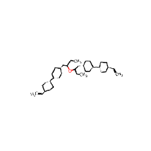 C=C[C@H]1CC[C@H]([C@H]2CC[C@H](CC(CC)OC(CC)C[C@H]3CC[C@H]([C@H]4CC[C@H](C=C)CC4)CC3)CC2)CC1